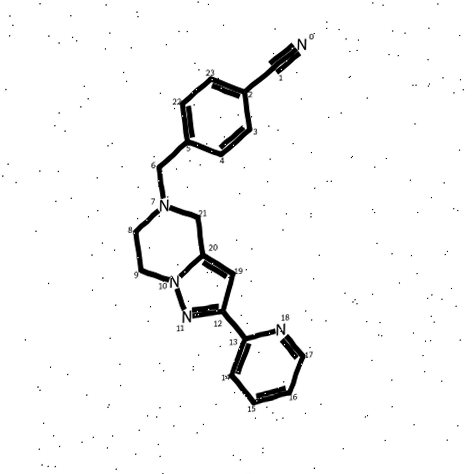 N#Cc1ccc(CN2CCn3nc(-c4ccccn4)cc3C2)cc1